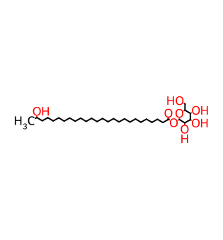 CC(O)CCCCCCCCCCCCCCCCCCCCCCCC(=O)O[C@H]1OC(CO)[C@@H](O)C(O)C1O